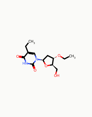 CCO[C@H]1C[C@H](n2cc(CC)c(=O)[nH]c2=O)O[C@@H]1CO